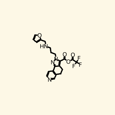 O=C(OC(=O)C(F)(F)F)c1c2c(nn1CCCNCc1ccco1)-c1ccncc1CC2